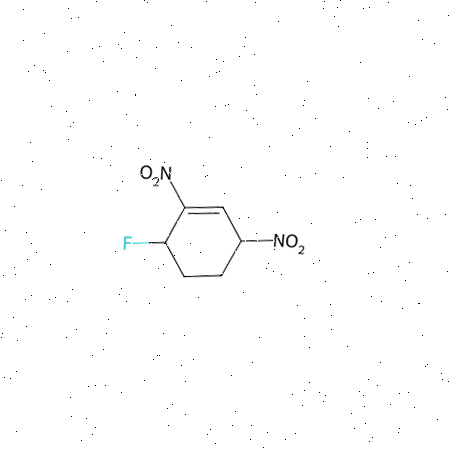 O=[N+]([O-])C1=CC([N+](=O)[O-])CCC1F